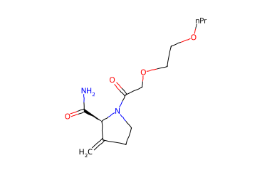 C=C1CCN(C(=O)COCCOCCC)[C@@H]1C(N)=O